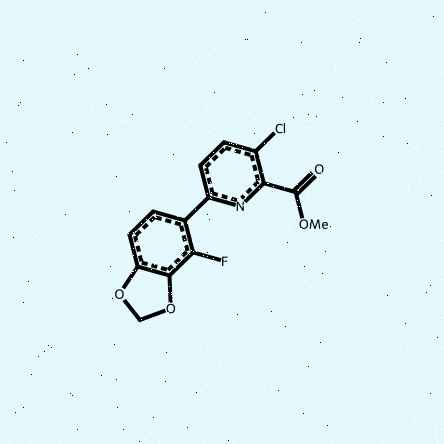 COC(=O)c1nc(-c2ccc3c(c2F)OCO3)ccc1Cl